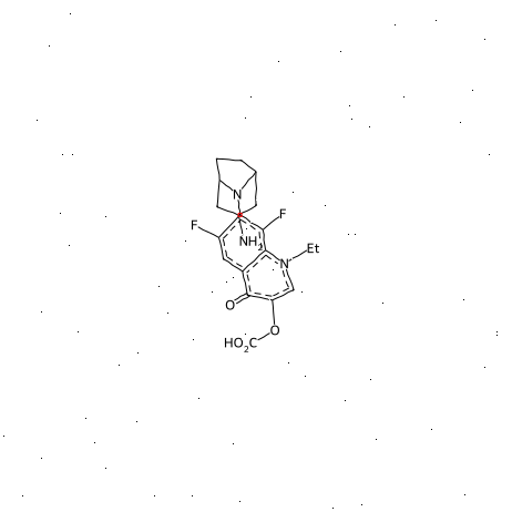 CCn1cc(OC(=O)O)c(=O)c2cc(F)c(N3C4CCC3CC(N)C4)c(F)c21